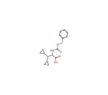 O=C(NC(C(=O)O)C(C1CC1)C1CC1)OCc1ccccc1